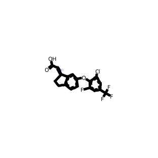 O=C(O)/C=C1\CCc2ccc(Oc3c(F)cc(C(F)(F)F)cc3Cl)cc21